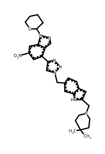 CC1(C)CCN(Cc2cc3ccc(Cn4cc(-c5cc([N+](=O)[O-])cc6c5cnn6C5CCCCO5)nn4)cc3[nH]2)CC1